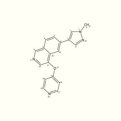 Cn1cc(-c2ccc3cncc(Oc4ccncc4)c3c2)cn1